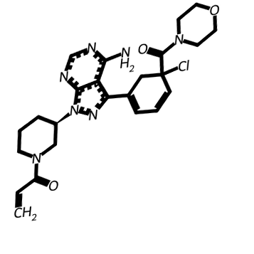 C=CC(=O)N1CCC[C@@H](n2nc(C3=CC=CC(Cl)(C(=O)N4CCOCC4)C3)c3c(N)ncnc32)C1